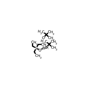 CC(C)(C)[O-].CC(C)(C)[O-].CC[Si](CC)(CC)[O][Bi+2]